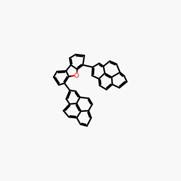 c1cc2ccc3cc(-c4cccc5c4oc4c(-c6cc7ccc8cccc9ccc(c6)c7c89)cccc45)cc4ccc(c1)c2c34